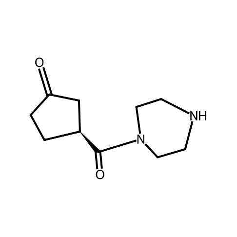 O=C1CC[C@H](C(=O)N2CCNCC2)C1